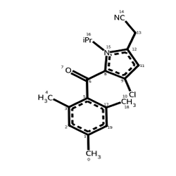 Cc1cc(C)c(C(=O)c2c(Cl)cc(CC#N)n2C(C)C)c(C)c1